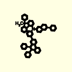 CC1(c2ccccc2)c2ccccc2-c2c(N(c3cccc(-c4ccc5c(c4)c(-c4ccccc4)c(-c4ccccc4)c4ccccc45)c3)c3ccc4cc(-c5ccccc5)ccc4c3)cccc21